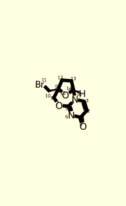 O=c1ccn2c(n1)OC[C@]1(CBr)CC[C@H]2O1